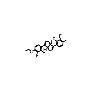 CCOc1ccc(C2=CC[C@H]3C(c4ccc(C)c(F)c4F)=CC[C@@H]23)c(F)c1F